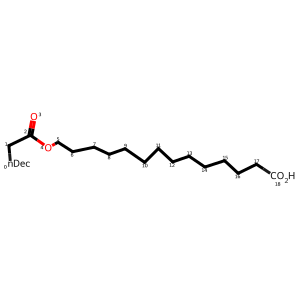 [CH2]CCCCCCCCCCC(=O)OCCCCCCCCCCCCCC(=O)O